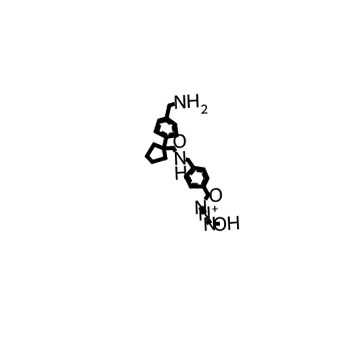 NCc1ccc(C2(C(=O)NCc3ccc(C(=O)N=[N+]=NO)cc3)CCCC2)cc1